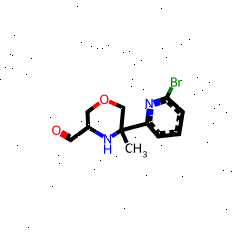 CC1(c2cccc(Br)n2)COCC(C=O)N1